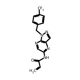 C=CC(=O)Nc1cnc2c(cnn2Cc2ccc(C(F)(F)F)cc2)n1